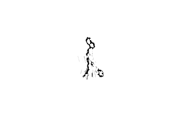 CS(=O)(=O)CCC(NC(=O)CNCc1cccc2ccccc12)C(=O)OC[C@@H]1CCCN1